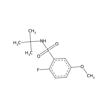 COc1ccc(F)c(S(=O)(=O)NC(C)(C)C)c1